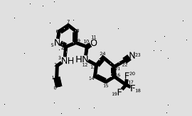 C#CCNc1ncccc1C(=O)Nc1ccc(C(F)(F)F)c(C#N)c1